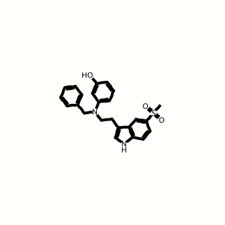 CS(=O)(=O)c1ccc2[nH]cc(CCN(Cc3ccccc3)c3cccc(O)c3)c2c1